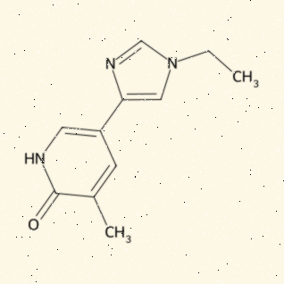 CCn1cnc(-c2c[nH]c(=O)c(C)c2)c1